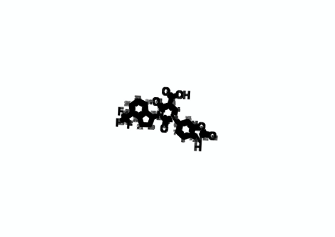 O=C(O)c1cn(-c2ccc3[nH]c(=O)oc3c2)c(=O)n(C2CCc3c2cccc3C(F)(F)F)c1=O